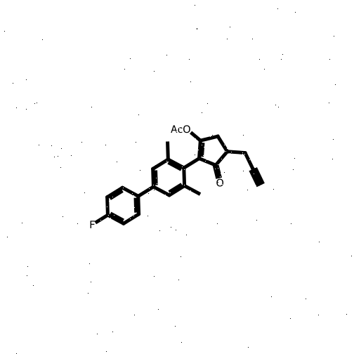 C#CCC1CC(OC(C)=O)=C(c2c(C)cc(-c3ccc(F)cc3)cc2C)C1=O